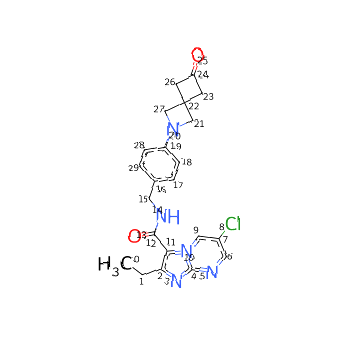 CCc1nc2ncc(Cl)cn2c1C(=O)NCc1ccc(N2CC3(CC(=O)C3)C2)cc1